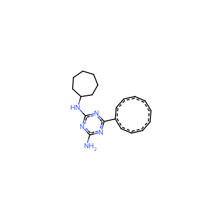 Nc1nc(NC2CCCCCC2)nc(-c2ccccccccc2)n1